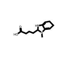 CN1C2=CCCC=C2NC1CCCC(=O)O